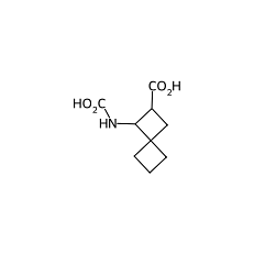 O=C(O)NC1C(C(=O)O)CC12CCC2